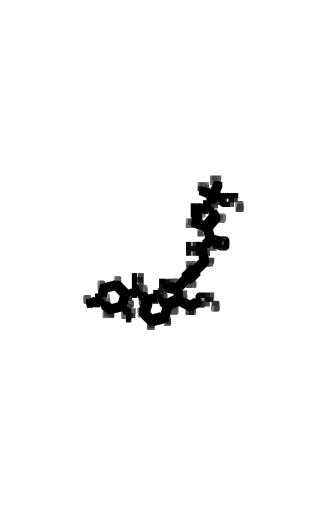 CN1CC[C@@H](Nc2cccc3c(CC(F)(F)F)c(C#CCNC(=O)c4cnn(C(C)(C)C(F)(F)F)c4)nn23)[C@@H](F)C1